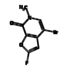 Cn1cc(Br)c2cc(F)oc2c1=O